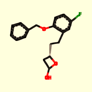 OC1C[C@H](CCc2cc(F)ccc2OCc2ccccc2)O1